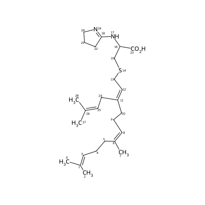 CC(C)=CCCC(C)=CCCC(=CCSCC(NC1=NCCC1)C(=O)O)CC=C(C)C